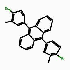 Cc1cc(-c2c3ccccc3c(-c3ccc(Br)c(C)c3)c3ccccc23)ccc1Br